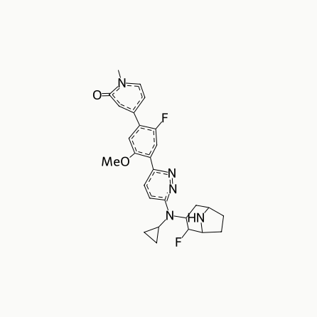 COc1cc(-c2ccn(C)c(=O)c2)c(F)cc1-c1ccc(N(C2CC2)C2CC3CCC(N3)C2F)nn1